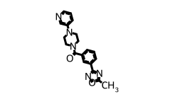 Cc1nc(-c2cccc(C(=O)N3CCN(c4cccnc4)CC3)c2)no1